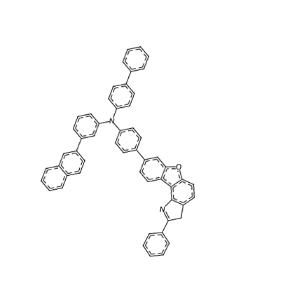 c1ccc(C2=Nc3c(ccc4oc5cc(-c6ccc(N(c7ccc(-c8ccccc8)cc7)c7cccc(-c8ccc9ccccc9c8)c7)cc6)ccc5c34)C2)cc1